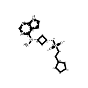 CN(c1ncnc2[nH]ccc12)[C@H]1C[C@@H](CS(=O)(=O)CCC2CCCC2)C1